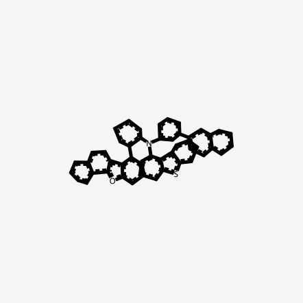 c1cc(-c2ccc3ccccc3c2)cc(N(c2ccccc2-c2cccc3oc4c5ccccc5ccc4c23)c2cccc3sc4ccccc4c23)c1